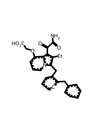 CCc1c(C(=O)C(N)=O)c2c(OCC(=O)O)cccn2c1Cc1ccccc1Cc1ccccc1